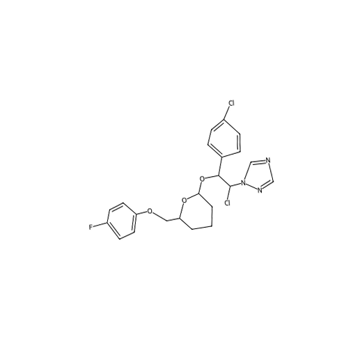 Fc1ccc(OCC2CCCC(OC(c3ccc(Cl)cc3)C(Cl)n3cncn3)O2)cc1